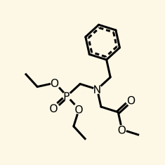 CCOP(=O)(CN(CC(=O)OC)Cc1ccccc1)OCC